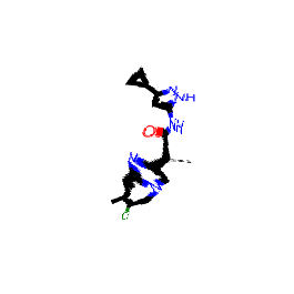 Cc1cc2nc([C@@H](C)C(=O)Nc3cc(C4CC4)n[nH]3)cn2cc1Cl